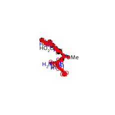 COCCC[N+](C)(CCCC12CC3(Cn4ncc(-c5ccc(N6CCCc7c6nnc(Nc6nc8ccccc8s6)c7C)nc5C(=O)O)c4C)C[C@](C)(C1)C[C@](C)(C2)C3)Cc1ccc(NC(=O)[C@H](CCCNC(N)=O)NC(=O)[C@@H](NC(=O)CCOCCN2C(=O)C=CC2=O)C(C)C)cc1